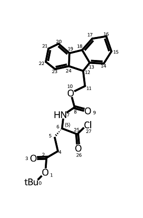 CC(C)(C)OC(=O)CC[C@H](NC(=O)OCC1c2ccccc2-c2ccccc21)C(=O)Cl